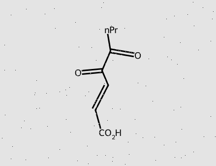 CCCC(=O)C(=O)C=CC(=O)O